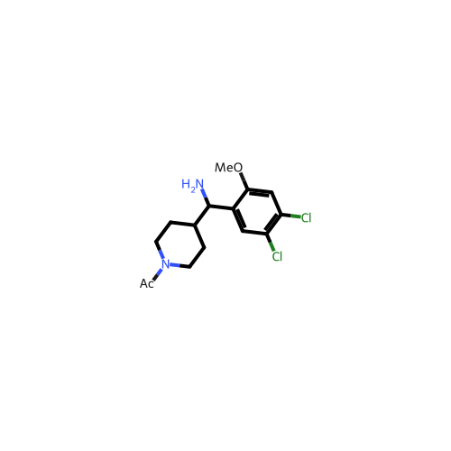 COc1cc(Cl)c(Cl)cc1C(N)C1CCN(C(C)=O)CC1